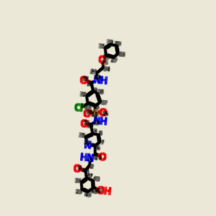 O=C(CNC(=O)c1ccc(C(=O)NS(=O)(=O)c2ccc(C(=O)NCCOc3ccccc3)cc2Cl)cn1)c1cccc(O)c1